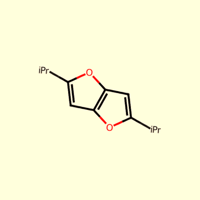 CC(C)c1cc2oc(C(C)C)cc2o1